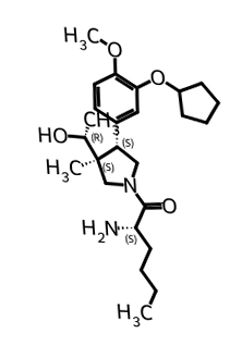 CCCC[C@H](N)C(=O)N1C[C@@H](c2ccc(OC)c(OC3CCCC3)c2)[C@](C)([C@@H](C)O)C1